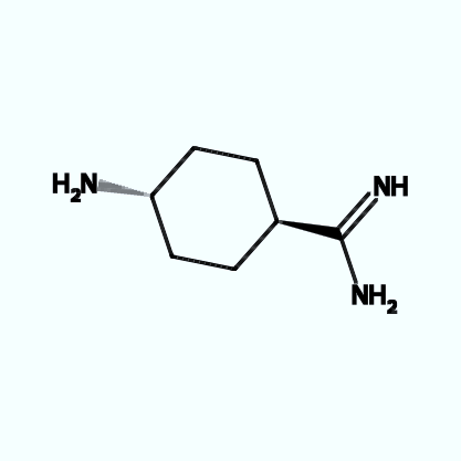 N=C(N)[C@H]1CC[C@H](N)CC1